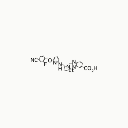 CCn1c(CN2CCCC2CNc2cccc(OCc3ccc(C#N)cc3F)n2)nc2ccc(C(=O)O)cc21